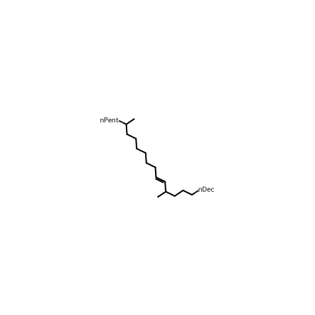 [CH2]CCCCCCCCCCCCC(C)C=CCCCCCCC(C)CCCC[CH2]